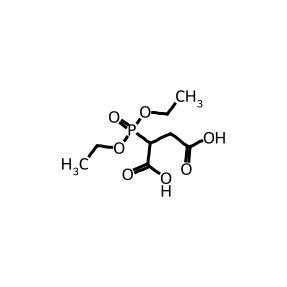 CCOP(=O)(OCC)C(CC(=O)O)C(=O)O